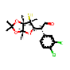 CC1(C)O[C@H]2O[C@H]([C@H](C=O)c3ccc(Cl)c(Cl)c3)[C@@](C)(S)[C@H]2O1